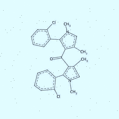 Cc1cn(C)c(-c2ccccc2Cl)c1C(=O)c1c(C)cn(C)c1-c1ccccc1Cl